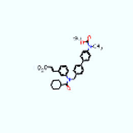 CN(C(=O)OC(C)(C)C)c1ccc(-c2ccc(CN(C(=O)C3CCCCC3)c3cccc(C=CC(=O)O)c3)cc2)cc1